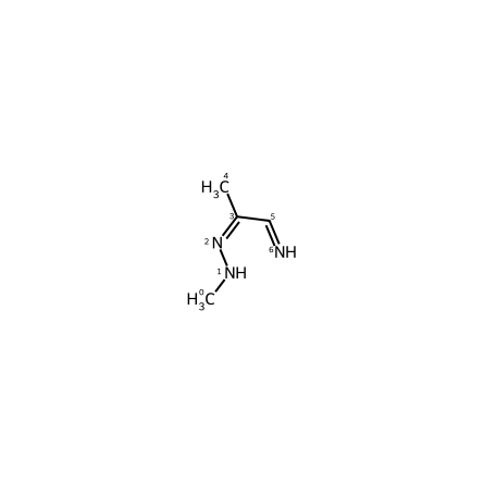 CN/N=C(/C)C=N